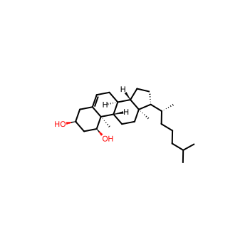 CC(C)CCC[C@@H](C)[C@H]1CC[C@H]2[C@@H]3CC=C4C[C@H](O)C[C@H](O)[C@]4(C)[C@H]3CC[C@]12C